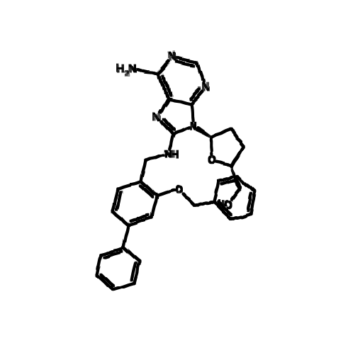 Nc1ncnc2c1nc(NCc1ccc(-c3ccccc3)cc1OCc1ccccc1)n2[C@H]1CC[C@@H](CO)O1